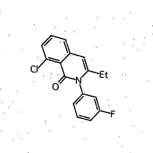 CCc1cc2cccc(Cl)c2c(=O)n1-c1cccc(F)c1